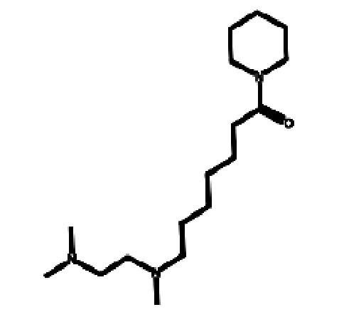 CN(C)CCN(C)CCCCCCC(=O)N1CCCCC1